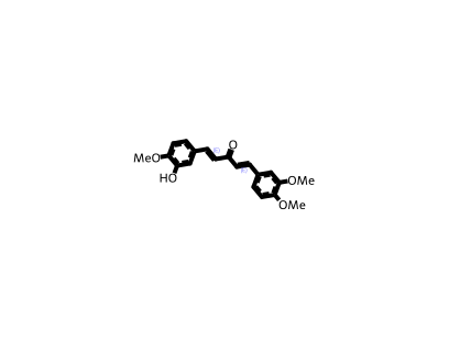 COc1ccc(/C=C/C(=O)/C=C/c2ccc(OC)c(OC)c2)cc1O